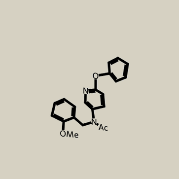 COc1ccccc1CN(C(C)=O)c1ccc(Oc2ccccc2)nc1